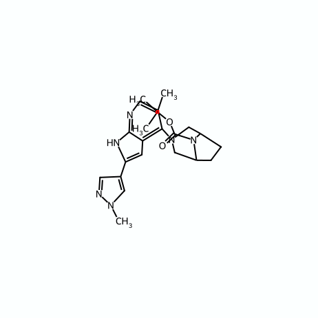 Cn1cc(-c2cc3c(N4CC5CCC(C4)N5C(=O)OC(C)(C)C)ccnc3[nH]2)cn1